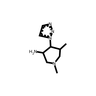 CC1CN(C)CC(N)C1n1ccnn1